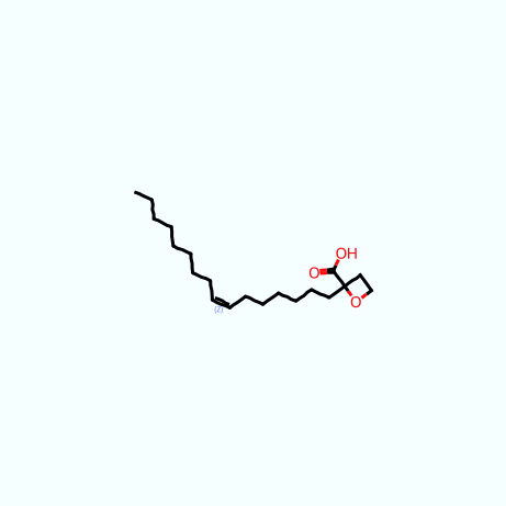 CCCCCCCC/C=C\CCCCCCC1(C(=O)O)CCO1